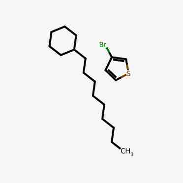 Brc1ccsc1.CCCCCCCCCC1CCCCC1